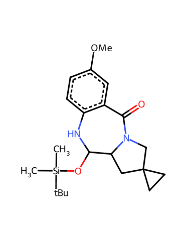 COc1ccc2c(c1)C(=O)N1CC3(CC3)CC1C(O[Si](C)(C)C(C)(C)C)N2